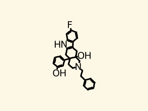 Oc1cccc(C23CCN(CCc4ccccc4)CC2(O)Cc2c([nH]c4cc(F)ccc24)C3)c1